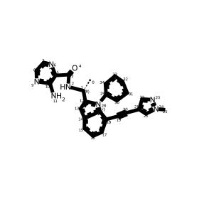 C[C@@H](NC(=O)c1nccnc1N)c1cc2cccc(C#Cc3cnn(C)c3)c2n1-c1ccccc1